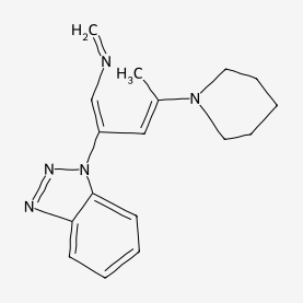 C=N/C=C(\C=C(/C)N1CCCCC1)n1nnc2ccccc21